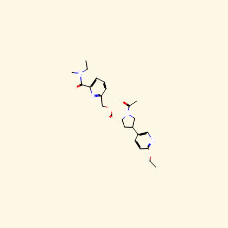 CCOc1ccc(C2C[C@H](C(=O)OCc3cccc(C(=O)N(C)CC)n3)N(C(C)=O)C2)cn1